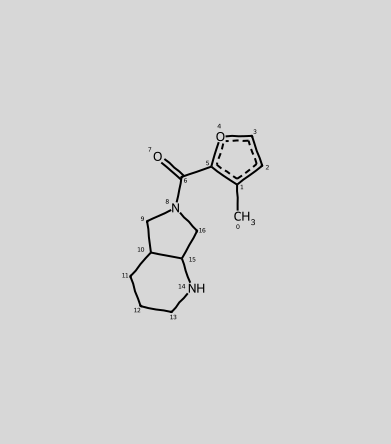 Cc1ccoc1C(=O)N1CC2CCCNC2C1